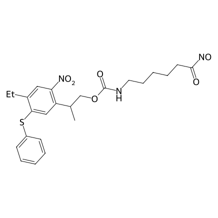 CCc1cc([N+](=O)[O-])c(C(C)COC(=O)NCCCCCC(=O)N=O)cc1Sc1ccccc1